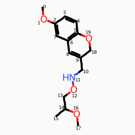 COc1ccc2c(c1)C=C(CNOCC(C)OC)CO2